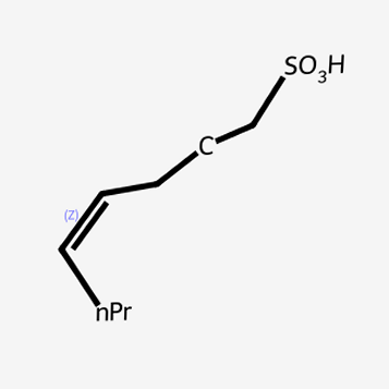 CCC/C=C\CCCS(=O)(=O)O